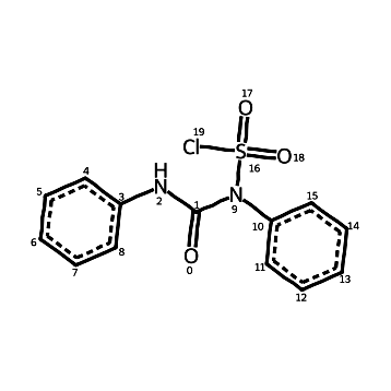 O=C(Nc1ccccc1)N(c1ccccc1)S(=O)(=O)Cl